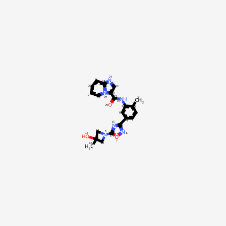 Cc1ccc(-c2noc(N3CC(C)(O)C3)n2)cc1NC(=O)c1cnc2ccccn12